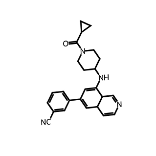 N#Cc1cccc(C2=CC3C=CN=CC3C(NC3CCN(C(=O)C4CC4)CC3)=C2)c1